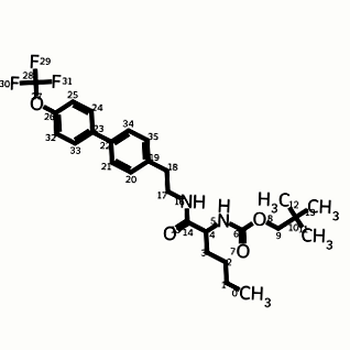 CCCCC(NC(=O)OCC(C)(C)C)C(=O)NCCc1ccc(-c2ccc(OC(F)(F)F)cc2)cc1